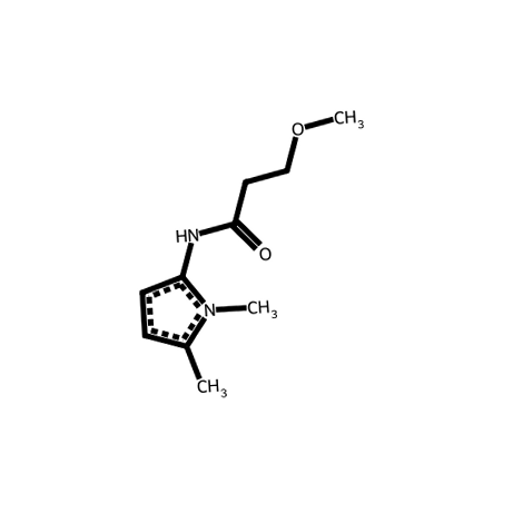 COCCC(=O)Nc1ccc(C)n1C